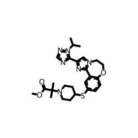 COC(=O)C(C)(C)N1CCC(Sc2ccc3c(c2)-c2nc(-c4ncnn4C(C)C)cn2CCO3)CC1